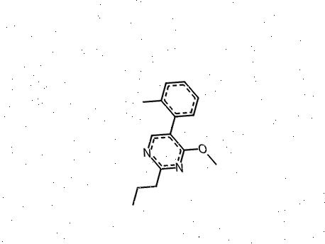 CCCc1ncc(-c2ccccc2C)c(OC)n1